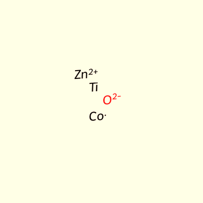 [Co].[O-2].[Ti].[Zn+2]